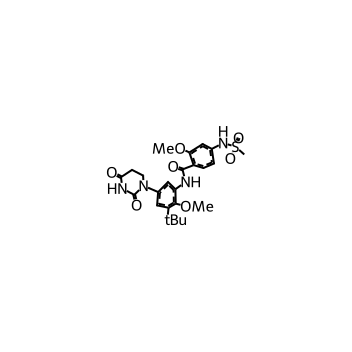 COc1cc(NS(C)(=O)=O)ccc1C(=O)Nc1cc(N2CCC(=O)NC2=O)cc(C(C)(C)C)c1OC